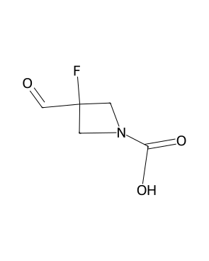 O=CC1(F)CN(C(=O)O)C1